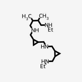 CCNCC(C)C(C)CNCC1CC1CNCC1CC1CNCC